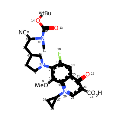 COc1c(N2CCC(CC(C#N)N(C)C(=O)OC(C)(C)C)C2)c(F)cc2c(=O)c(C(=O)O)cn(C3CC3)c12